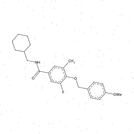 COc1ccc(COc2c(C)cc(C(=O)NCC3CCCCC3)cc2F)cc1